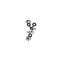 O=C(Nc1ccc2c(c1)OC(F)(F)O2)N1CC(c2ccc3c(c2)OCCO3)=C(c2ccccc2)N1